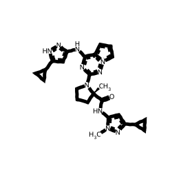 Cn1nc(C2CC2)cc1NC(=O)[C@]1(C)CCCN1c1nc(Nc2cc(C3CC3)[nH]n2)c2cccn2n1